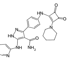 NC(=O)c1c(-c2ccc(Nc3c(N4CCCCC4)c(=O)c3=O)cc2)n[nH]c1Nc1ccccn1